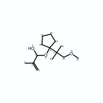 C=C(C)C(O)OC1(C(C)(C)COC)CCCC1